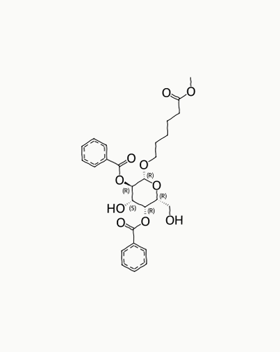 COC(=O)CCCCCO[C@@H]1O[C@H](CO)[C@H](OC(=O)c2ccccc2)[C@H](O)[C@H]1OC(=O)c1ccccc1